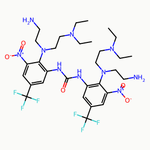 CCN(CC)CCN(CCN)c1c(NC(=O)Nc2cc(C(F)(F)F)cc([N+](=O)[O-])c2N(CCN)CCN(CC)CC)cc(C(F)(F)F)cc1[N+](=O)[O-]